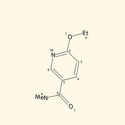 CCOc1ccc(C(=O)NC)cn1